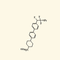 CCCCCCCC1CCC(c2ccc(-c3ccc(C(F)C(F)(F)CCC)cc3)cc2)CC1